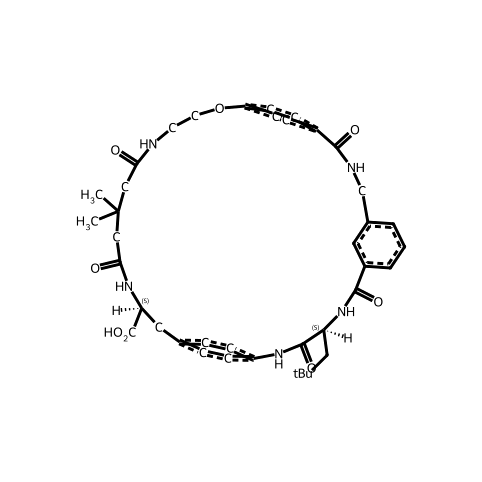 CC(C)(C)C[C@@H]1NC(=O)c2cccc(c2)CNC(=O)c2ccc(cc2)OCCNC(=O)CC(C)(C)CC(=O)N[C@H](C(=O)O)Cc2ccc(cc2)NC1=O